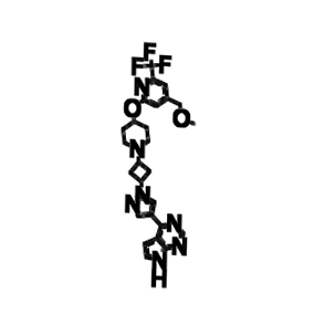 COCc1cc(OC2CCN(C3CC(n4cc(-c5ncnc6[nH]ccc56)cn4)C3)CC2)nc(C(F)(F)F)c1